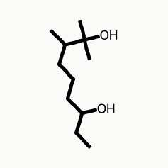 CCC(O)CCCC(C)C(C)(C)O